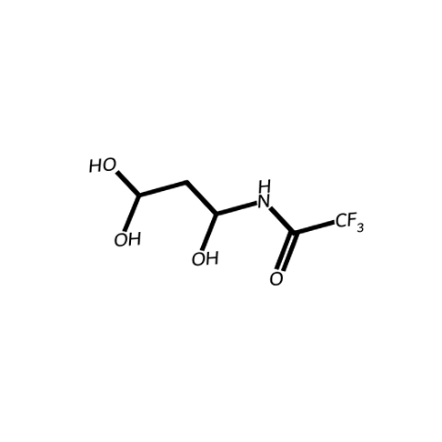 O=C(NC(O)CC(O)O)C(F)(F)F